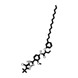 CCCCCCCCCCCCCCCc1cccc(OC(CC)C(=O)Nc2ccc(-c3nn4nc(C(C)(C)C)c(Cl)c4[nH]3)c(OC)c2)c1